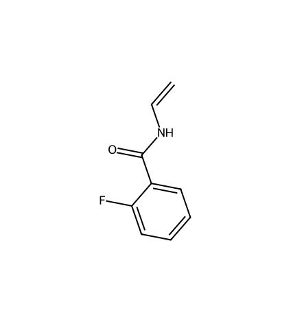 C=CNC(=O)c1ccccc1F